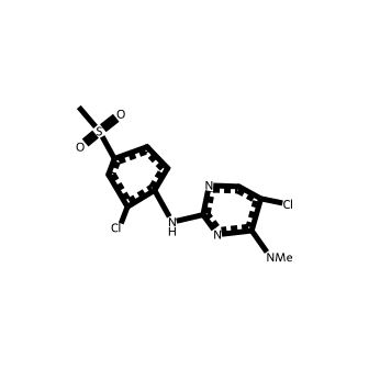 CNc1nc(Nc2ccc(S(C)(=O)=O)cc2Cl)ncc1Cl